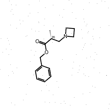 C[C@H](CN1CCC1)C(=O)OCc1ccccc1